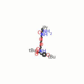 CC(C)C[C@H](N)C(=O)NCCOCCOCCC(=O)N[C@@H](Cc1ccc(OC(C)(C)C)cc1)C(=O)OC(C)(C)C